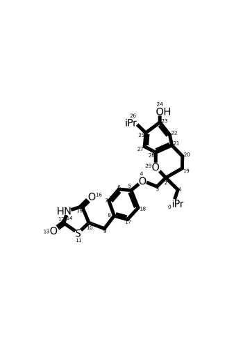 CC(C)CC1(COc2ccc(CC3SC(=O)NC3=O)cc2)CCc2cc(O)c(C(C)C)cc2O1